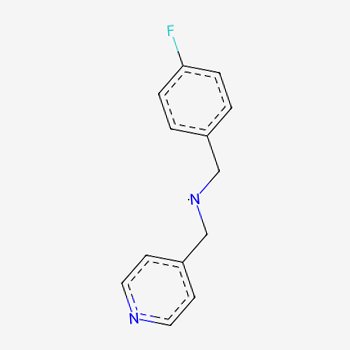 Fc1ccc(C[N]Cc2ccncc2)cc1